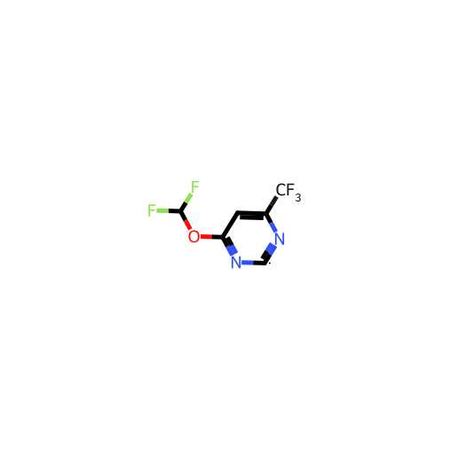 FC(F)Oc1cc(C(F)(F)F)n[c]n1